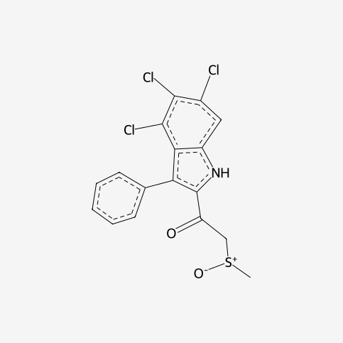 C[S+]([O-])CC(=O)c1[nH]c2cc(Cl)c(Cl)c(Cl)c2c1-c1ccccc1